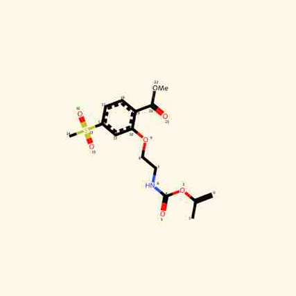 C=C(C)OC(=O)NCCOc1cc(S(C)(=O)=O)ccc1C(=O)OC